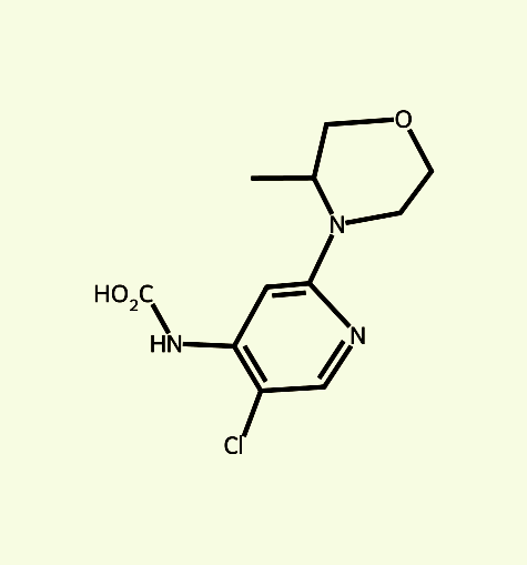 CC1COCCN1c1cc(NC(=O)O)c(Cl)cn1